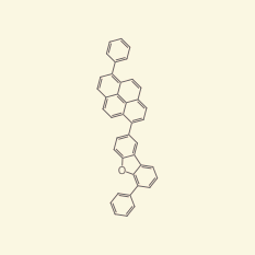 c1ccc(-c2ccc3ccc4c(-c5ccc6oc7c(-c8ccccc8)cccc7c6c5)ccc5ccc2c3c54)cc1